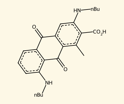 CCCCNc1cccc2c1C(=O)c1c(cc(NCCCC)c(C(=O)O)c1C)C2=O